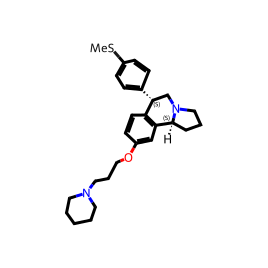 CSc1ccc([C@@H]2CN3CCC[C@H]3c3cc(OCCCN4CCCCC4)ccc32)cc1